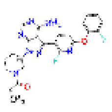 C=CC(=O)N1CCC[C@@H](n2nc(-c3ccc(Oc4ccccc4F)nc3F)c3c(N)ncnc32)C1